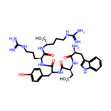 N=C(N)NCCC[C@H](NC(=O)[C@H](CCCNC(=N)N)NC(=O)[C@H](Cc1ccc(O)cc1)NC(=O)[C@H](CC(=O)O)NC(=O)[C@@H](N)Cc1c[nH]c2ccccc12)C(=O)O